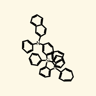 C1=CCC=CC(N(c2ccccc2)c2ccccc2[Si](c2ccccc2)(c2ccccc2)c2cccc(N(c3ccccc3)c3ccc4ccccc4c3)c2)=C1